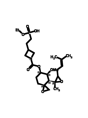 CCOP(=O)(O)CCC1CN(C(=O)O[C@@H]2CC[C@]3(CO3)[C@@H]([C@@]3(C)OC3CC=C(C)C)[C@@H]2OC)C1